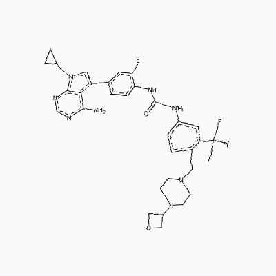 Nc1ncnc2c1c(-c1ccc(NC(=O)Nc3ccc(CN4CCN(C5COC5)CC4)c(C(F)(F)F)c3)c(F)c1)cn2C1CC1